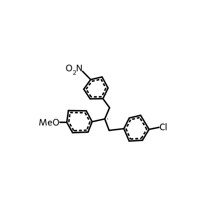 COc1ccc([C](Cc2ccc(Cl)cc2)Cc2ccc([N+](=O)[O-])cc2)cc1